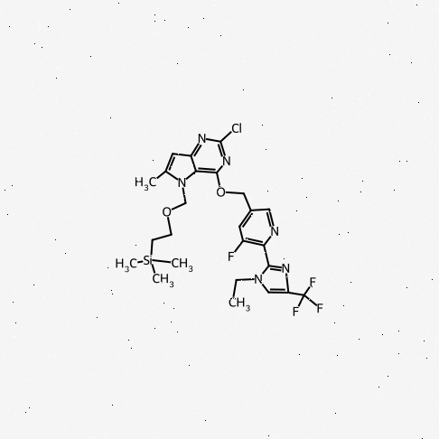 CCn1cc(C(F)(F)F)nc1-c1ncc(COc2nc(Cl)nc3cc(C)n(COCC[Si](C)(C)C)c23)cc1F